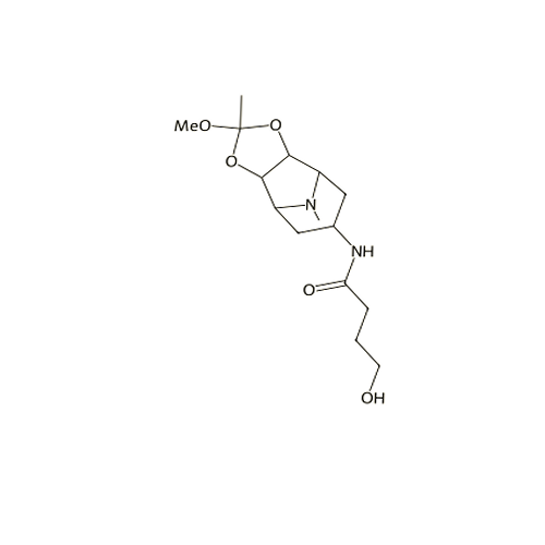 COC1(C)OC2C(O1)C1CC(NC(=O)CCCO)CC2N1C